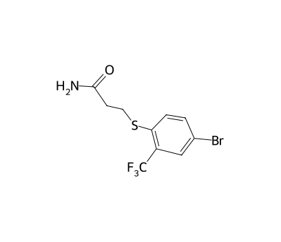 NC(=O)CCSc1ccc(Br)cc1C(F)(F)F